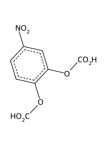 O=C(O)Oc1ccc([N+](=O)[O-])cc1OC(=O)O